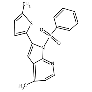 Cc1ccc(-c2cc3c(C)ccnc3n2S(=O)(=O)c2ccccc2)s1